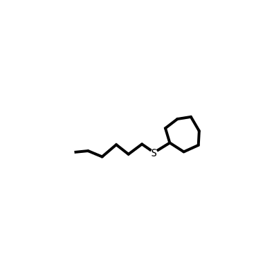 CCCCCCSC1CCCCCC1